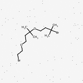 CC(C)(Br)CCOC(C)(C)CCOCCBr